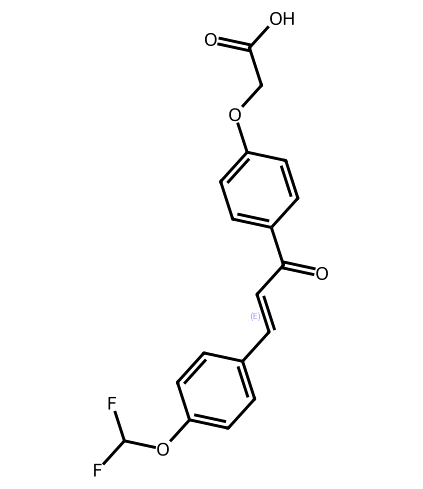 O=C(O)COc1ccc(C(=O)/C=C/c2ccc(OC(F)F)cc2)cc1